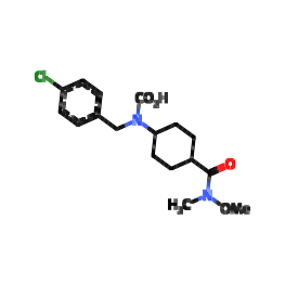 CON(C)C(=O)C1CCC(N(Cc2ccc(Cl)cc2)C(=O)O)CC1